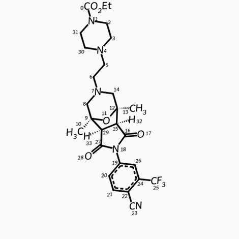 CCOC(=O)N1CCN(CCN2C[C@@]3(C)O[C@@](C)(C2)[C@H]2C(=O)N(c4ccc(C#N)c(C(F)(F)F)c4)C(=O)[C@H]23)CC1